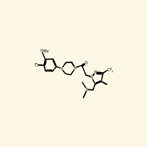 COc1cc(N2CCN(C(=O)Cn3nc(C(F)(F)F)c(C)c3CN(C)C)CC2)ccc1Cl